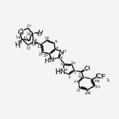 O=C(c1c[nH]c(-c2nc3ccc(N4C[C@H]5C[C@@H]4CO5)cc3[nH]2)c1)c1ccccc1C(F)(F)F